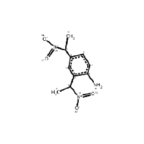 CC(c1ccc(N)c(C(C)[N+](=O)[O-])c1)[N+](=O)[O-]